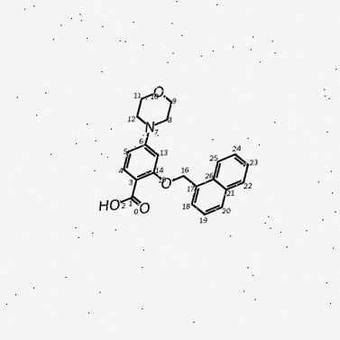 O=C(O)c1ccc(N2CCOCC2)cc1OCc1cccc2ccccc12